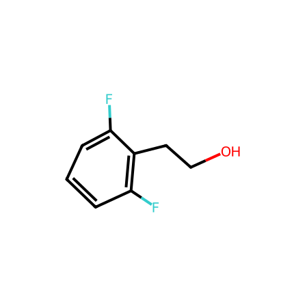 OCCc1c(F)cccc1F